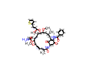 CO[C@H]1/C=C\C=C(/C)C(=O)NC2=CC(=O)C(NC(=O)c3ccccc3)=C(C[C@@H](C)C[C@H](OC)[C@H](OC(=O)/C=C/c3cccs3)[C@@H](C)/C=C(\C)[C@@H]1OC(N)=O)C2=O